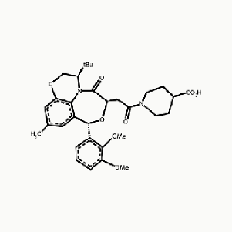 COc1cccc([C@H]2O[C@H](CC(=O)N3CCC(C(=O)O)CC3)C(=O)N3c4c(cc(C)cc42)OC[C@H]3C(C)(C)C)c1OC